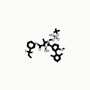 CCC(F)(F)c1cccc(NC(=O)c2c(C)n(COP(=O)(O)OC(C)(C)C)c(-c3ccc(OC)c(-c4c(C)cccc4C)c3)[n+]2O)c1